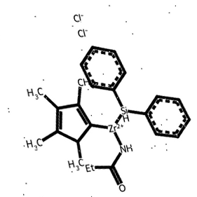 CCC(=O)[NH][Zr+2]([C]1=C(C)C(C)=C(C)C1C)[SiH](c1ccccc1)c1ccccc1.[Cl-].[Cl-]